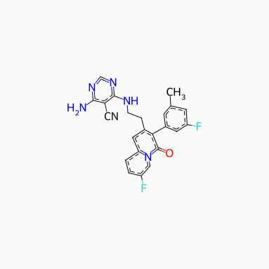 Cc1cc(F)cc(-c2c(CCNc3ncnc(N)c3C#N)cc3ccc(F)cn3c2=O)c1